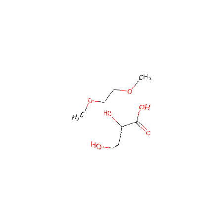 COCCOC.O=C(O)C(O)CO